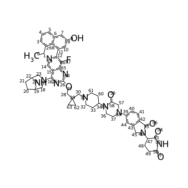 CCc1cccc2cc(O)cc(-c3ncc4c(N5CC6CCC(C5)N6)nc(OCC5(CN6CCC(N7CCN(c8ccc9c(c8)CN(C8CCC(=O)NC8=O)C9=O)CC7=O)CC6)CC5)nc4c3F)c12